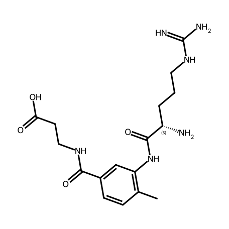 Cc1ccc(C(=O)NCCC(=O)O)cc1NC(=O)[C@@H](N)CCCNC(=N)N